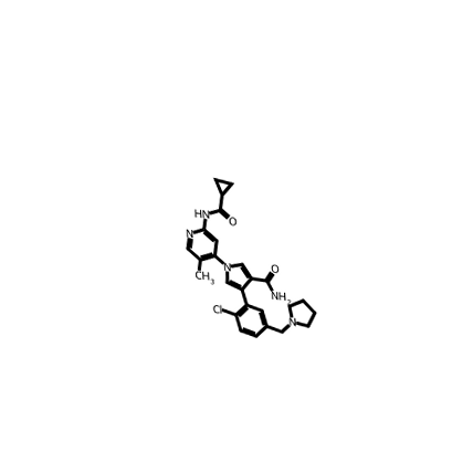 Cc1cnc(NC(=O)C2CC2)cc1-n1cc(C(N)=O)c(-c2cc(CN3CCCC3)ccc2Cl)c1